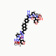 COC(=O)N[C@H](C(=O)N1CCC[C@H]1c1nc(-c2ccc3cc(-c4ccc(-c5c[nH]c([C@@H]6CCCN6C(=O)[C@H](C6CCOCC6)N(C)C(=O)O)n5)cc4)ccc3c2)c[nH]1)C1CCOCC1